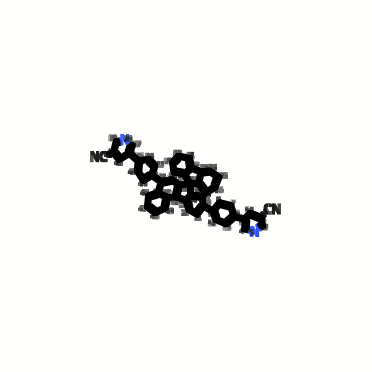 N#Cc1cncc(-c2ccc(-c3ccc4c(c3)C3(c5ccccc5-c5ccccc53)c3cc(-c5ccc(-c6cncc(C#N)c6)cc5)c5ccccc5c3-4)cc2)c1